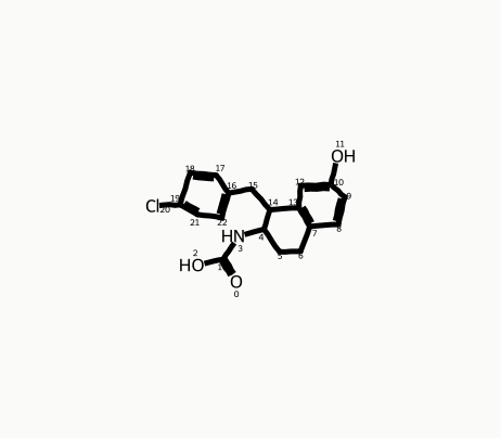 O=C(O)NC1CCc2ccc(O)cc2C1Cc1ccc(Cl)cc1